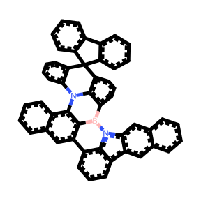 c1ccc2c(c1)-c1ccccc1C21c2ccccc2N2c3c(cccc31)B1c3c(cc4ccccc4c32)-c2cccc3c4cc5ccccc5cc4n1c23